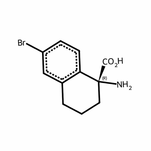 N[C@]1(C(=O)O)CCCc2cc(Br)ccc21